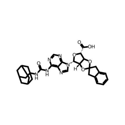 O=C(Nc1ncnc2c1ncn2[C@@H]1O[C@H](C(=O)O)C2OC3(Cc4ccccc4C3)O[C@@H]21)NC12CC3CC(CC(C3)C1)C2